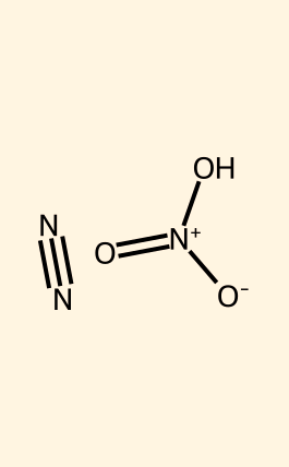 N#N.O=[N+]([O-])O